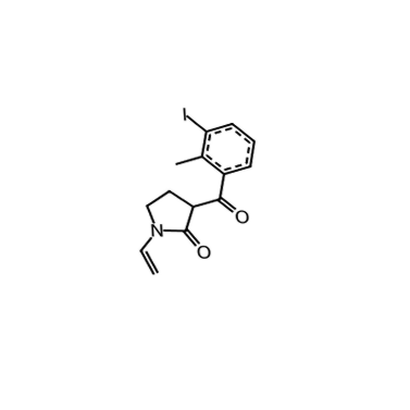 C=CN1CCC(C(=O)c2cccc(I)c2C)C1=O